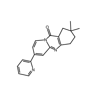 CC1(C)CCc2nc3cc(-c4ccccn4)ccn3c(=O)c2C1